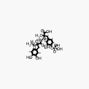 CC(Cc1ccc(OP(=O)(O)O)c(O)c1)(NNC(=O)C(C)(Cc1ccc(O)c(O)c1)NN)C(=O)O